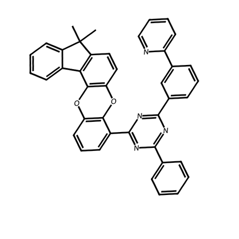 CC1(C)c2ccccc2-c2c1ccc1c2Oc2cccc(-c3nc(-c4ccccc4)nc(-c4cccc(-c5ccccn5)c4)n3)c2O1